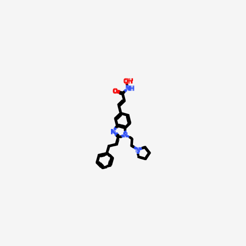 O=C(C=Cc1ccc2c(c1)nc(CCc1ccccc1)n2CCN1CCCC1)NO